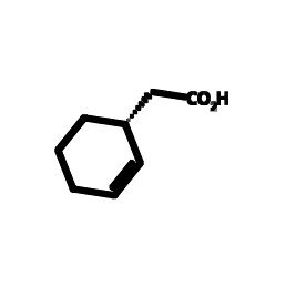 O=C(O)C[C@@H]1C=CCCC1